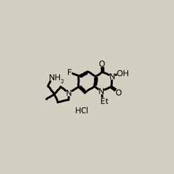 CCn1c(=O)n(O)c(=O)c2cc(F)c(N3CCC(C)(CN)C3)cc21.Cl